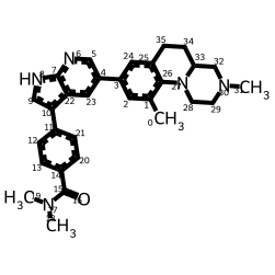 Cc1cc(-c2cnc3[nH]cc(-c4ccc(C(=O)N(C)C)cc4)c3c2)cc2c1N1CCN(C)CC1CC2